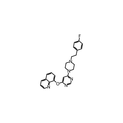 Fc1ccc(CCN2CCN(c3cc(Oc4cccc5cccnc45)ncn3)CC2)cc1